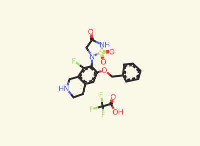 O=C(O)C(F)(F)F.O=C1CN(c2c(OCc3ccccc3)cc3c(c2F)CNCC3)S(=O)(=O)N1